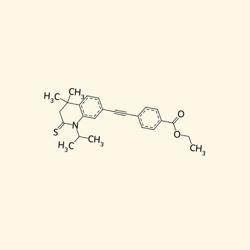 CCOC(=O)c1ccc(C#Cc2ccc3c(c2)N(C(C)C)C(=S)CC3(C)C)cc1